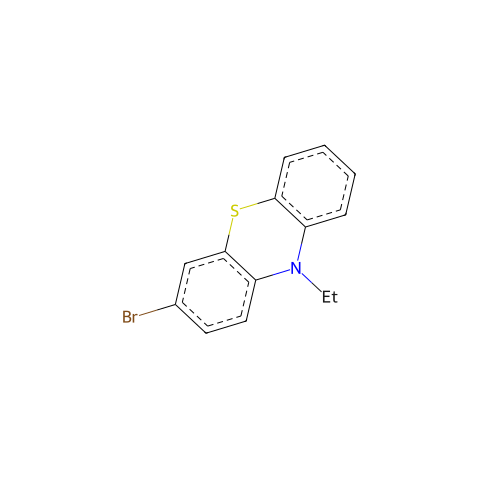 CCN1c2ccccc2Sc2cc(Br)ccc21